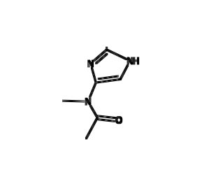 CC(=O)N(C)c1c[nH][c]n1